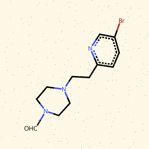 O=CN1CCN(CCc2ccc(Br)cn2)CC1